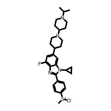 CC(C)N1CCC(N2CCC(c3cc(F)c4nc(-c5ccc([S+](C)[O-])cc5)n(C5CC5)c4c3)CC2)CC1